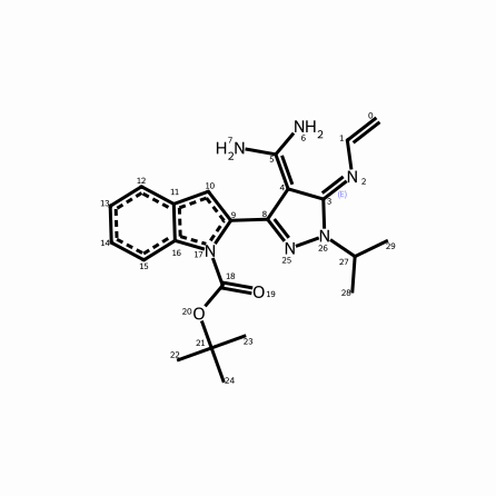 C=C/N=C1\C(=C(N)N)C(c2cc3ccccc3n2C(=O)OC(C)(C)C)=NN1C(C)C